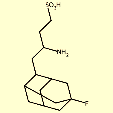 NC(CCS(=O)(=O)O)CC1C2CC3CC1CC(F)(C3)C2